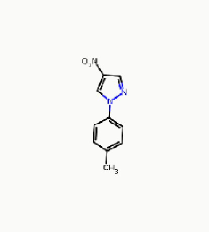 Cc1ccc(-n2cc([N+](=O)[O-])cn2)cc1